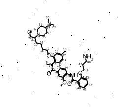 COc1cc(C(=O)N(C)c2ccc(C)cc2OCCCCC(C=O)N2CCC(N(C)C)CC2)ccc1NC(=O)c1ccccc1OCCCN